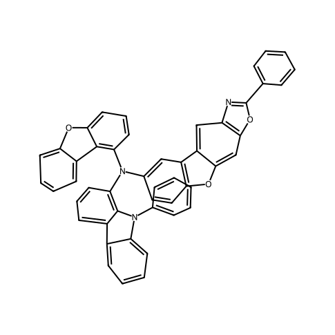 c1ccc(-c2nc3cc4c(cc3o2)oc2ccc(N(c3cccc5oc6ccccc6c35)c3cccc5c6ccccc6n(-c6ccccc6)c35)cc24)cc1